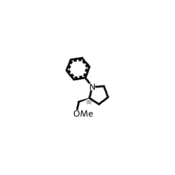 COC[C@@H]1CCCN1c1ccccc1